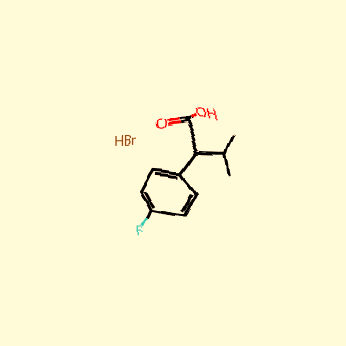 Br.CC(C)C(C(=O)O)c1ccc(F)cc1